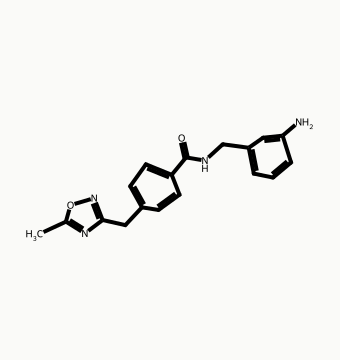 Cc1nc(Cc2ccc(C(=O)NCc3cccc(N)c3)cc2)no1